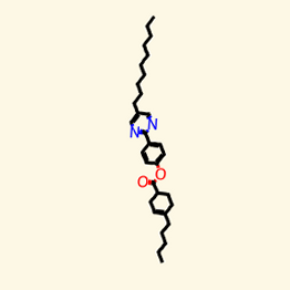 CCCCCCCCCCc1cnc(-c2ccc(OC(=O)C3CC=C(CCCCC)CC3)cc2)nc1